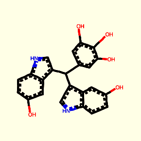 Oc1ccc2[nH]cc(C(c3cc(O)c(O)c(O)c3)c3c[nH]c4ccc(O)cc34)c2c1